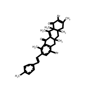 CC(=O)C1=C(C)CC2(C)CC3(C)Cc4c(C(C)C)cc(/C=C/c5ccc(C)cc5)c(C)c4C(=O)C3=C(C)C2(C)C1=O